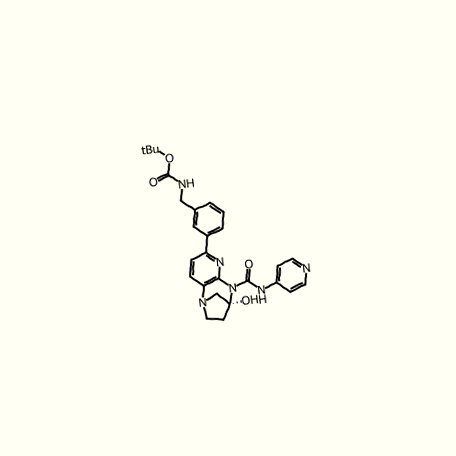 CC(C)(C)OC(=O)NCc1cccc(-c2ccc3c(n2)N(C(=O)Nc2ccncc2)[C@@]2(O)CCN3C2)c1